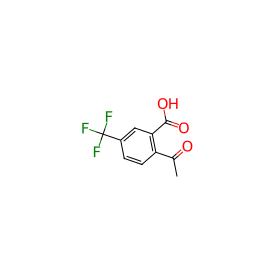 CC(=O)c1ccc(C(F)(F)F)cc1C(=O)O